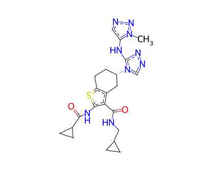 Cn1nncc1Nc1nncn1[C@H]1CCc2sc(NC(=O)C3CC3)c(C(=O)NCC3CC3)c2C1